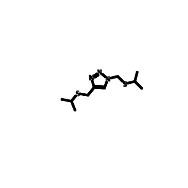 CC(C)SCc1cn(CSC(C)C)nn1